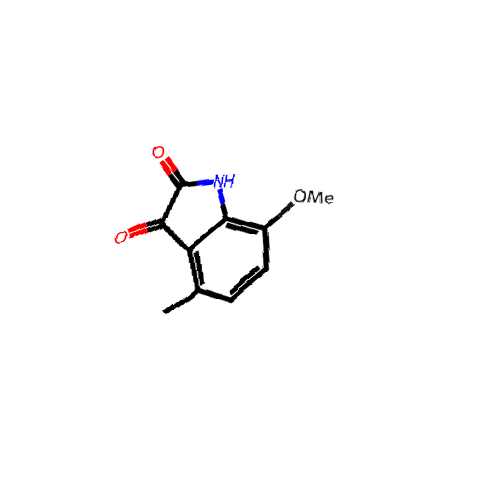 COc1ccc(C)c2c1NC(=O)C2=O